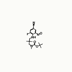 CN(CC(C)(C)CNc1c(I)cc(C#N)cc1N=O)C(=O)OC(C)(C)C